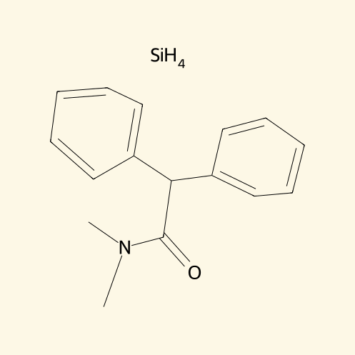 CN(C)C(=O)C(c1ccccc1)c1ccccc1.[SiH4]